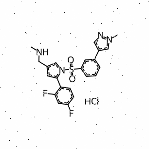 CNCc1cc(-c2ccc(F)cc2F)n(S(=O)(=O)c2cccc(-c3cnn(C)c3)c2)c1.Cl